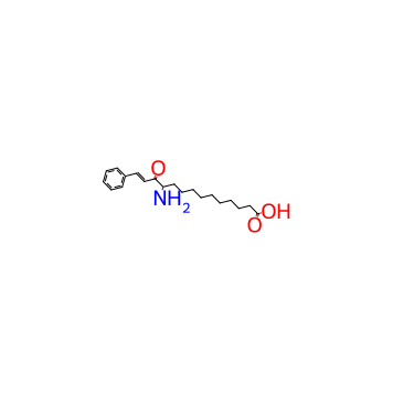 NC(CCCCCCCCCC(=O)O)C(=O)C=Cc1ccccc1